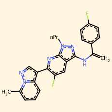 C=C(Nc1nn(CCC)c2nc(-c3cnn4c(C)cccc34)c(F)cc12)c1ccc(F)cc1